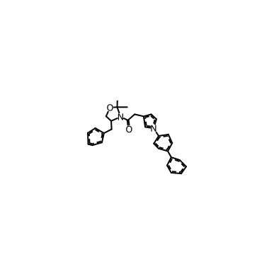 CC1(C)OCC(Cc2ccccc2)N1C(=O)Cc1ccn(-c2ccc(-c3ccccc3)cc2)c1